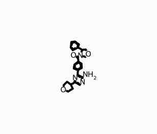 Nc1ncc(C2CCOCC2)nc1-c1ccc(C(=O)N2COCC2c2ccccc2)cc1